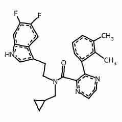 Cc1cccc(-c2nccnc2C(=O)N(CCc2c[nH]c3cc(F)c(F)cc23)CC2CC2)c1C